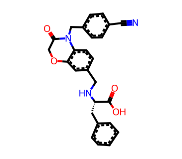 N#Cc1ccc(CN2C(=O)COc3cc(CN[C@@H](Cc4ccccc4)C(=O)O)ccc32)cc1